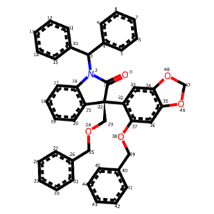 O=C1N(C(c2ccccc2)c2ccccc2)c2ccccc2[C@@]1(COCc1ccccc1)c1cc2c(cc1OCc1ccccc1)OCO2